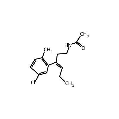 CC/C=C(/CCNC(C)=O)c1cc(Cl)ccc1C